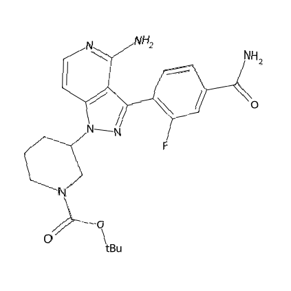 CC(C)(C)OC(=O)N1CCCC(n2nc(-c3ccc(C(N)=O)cc3F)c3c(N)nccc32)C1